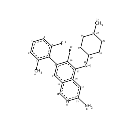 Cc1cccc(F)c1-c1cc2cnc(N)cc2c(NC2CCN(C)CC2)c1F